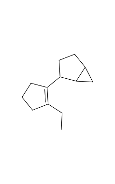 CCC1=C(C2CCC3CC32)CCC1